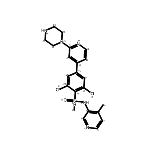 Cc1ccncc1N[SH](C)(=O)c1c(Cl)cc(-c2ccnc(N3CCNCC3)c2)cc1Cl